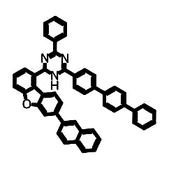 c1ccc(C2=NC(c3cccc4oc5cc(-c6ccc7ccccc7c6)ccc5c34)NC(c3ccc(-c4ccc(-c5ccccc5)cc4)cc3)=N2)cc1